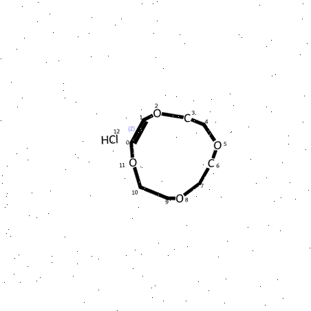 C1=C\OCCOCCOCCO/1.Cl